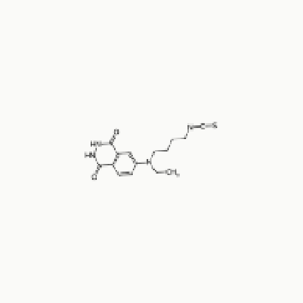 CCN(CCCCN=C=S)c1ccc2c(=O)[nH][nH]c(=O)c2c1